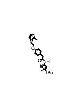 Cc1nccn1CCOc1ccc(CC(=O)Nc2cc(C(C)(C)C)on2)cc1